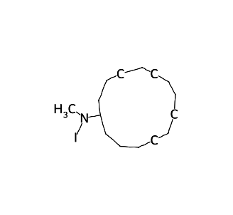 CN(I)C1CCCCCCCCCCCCC1